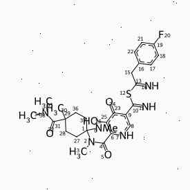 CNC1(N(C)C(=O)c2[nH]cc(C(=N)SC(=N)Cc3ccc(F)cc3)c(=O)c2O)CCC(C)(C(=O)N(C)C)CC1